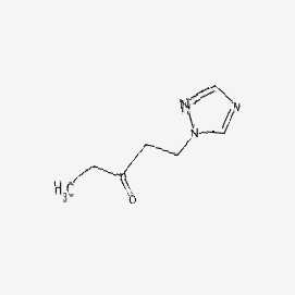 CCC(=O)CCn1cncn1